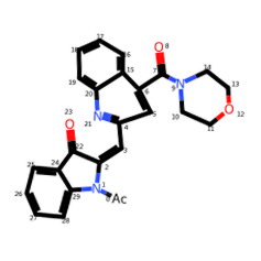 CC(=O)N1C(=Cc2cc(C(=O)N3CCOCC3)c3ccccc3n2)C(=O)c2ccccc21